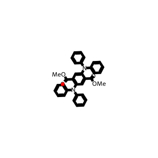 COC(=O)c1cc(N(c2ccccc2)c2ccccc2)c(C(=O)OC)cc1N(c1ccccc1)c1ccccc1